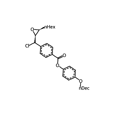 CCCCCCCCCCOc1ccc(OC(=O)c2ccc(C(Cl)[C@H]3O[C@H]3CCCCCC)cc2)cc1